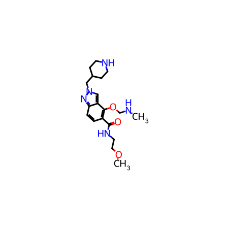 CNCOc1c(C(=O)NCCOC)ccc2nn(CC3CCNCC3)cc12